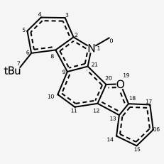 Cn1c2cccc(C(C)(C)C)c2c2ccc3c4ccccc4oc3c21